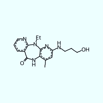 CCN1c2ncccc2C(=O)Nc2c(C)cc(NCCCO)nc21